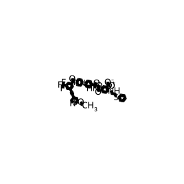 CCOc1cncc(C#Cc2cc(C(=O)N3CCN(c4ccc(C(=O)NS(=O)(=O)c5ccc(NCCSc6ccccc6)c([N+](=O)[O-])c5)cc4)CC3)cc(C(F)(F)F)c2)c1